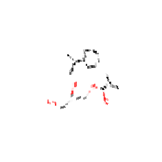 C=C(C)C(=O)OCC(O)CO.C=C(C)c1ccccc1